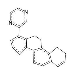 C1=Cc2ccc3c(c2CC1)CCc1c(-c2cnccn2)cccc1-3